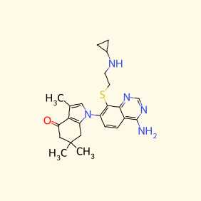 Cc1cn(-c2ccc3c(N)ncnc3c2SCCNC2CC2)c2c1C(=O)CC(C)(C)C2